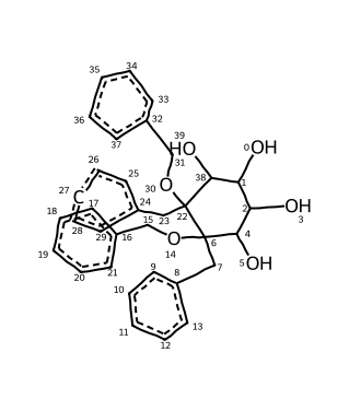 OC1C(O)C(O)C(Cc2ccccc2)(OCc2ccccc2)C(Cc2ccccc2)(OCc2ccccc2)C1O